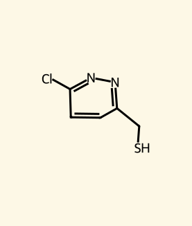 SCc1ccc(Cl)nn1